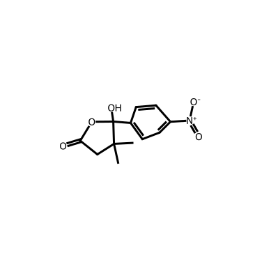 CC1(C)CC(=O)OC1(O)c1ccc([N+](=O)[O-])cc1